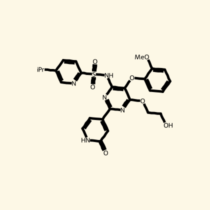 COc1ccccc1Oc1c(NS(=O)(=O)c2ccc(C(C)C)cn2)nc(-c2cc[nH]c(=O)c2)nc1OCCO